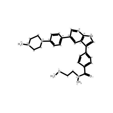 COCCN(C)C(=O)c1ccc(-c2c[nH]c3ncc(-c4ccc(N5CCN(C)CC5)cc4)cc23)cc1